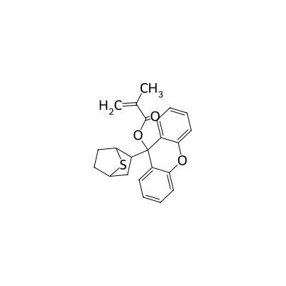 C=C(C)C(=O)OC1(C2CC3CCC2S3)c2ccccc2Oc2ccccc21